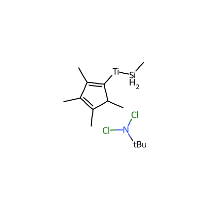 CC(C)(C)N(Cl)Cl.C[SiH2][Ti][C]1=C(C)C(C)=C(C)C1C